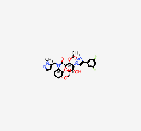 CC(=O)O[C@@H]1[C@@H](n2cc(-c3cc(F)cc(F)c3)nn2)[C@@H](O)[C@@H](CO)O[C@H]1C(=O)N(Cc1ccnn1C)[C@H]1CCCC[C@@H]1O